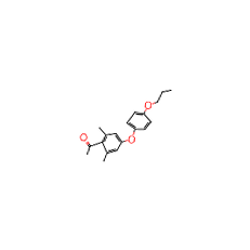 CCCOc1ccc(Oc2cc(C)c(C(C)=O)c(C)c2)cc1